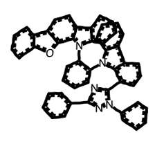 c1ccc(-c2nc(-c3cccc4c5ccccc5n(-c5ccccc5-n5c6ccccc6c6ccc7c8ccccc8oc7c65)c34)n(-c3ccccc3)n2)cc1